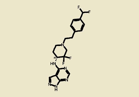 FC(F)c1ccc(CCN2CC[C@@H](Nc3ncnc4[nH]ncc34)C(F)(F)C2)cc1